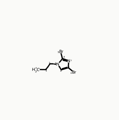 CCCn1cc(Br)nc1Br